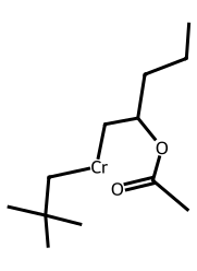 CCCC([CH2][Cr][CH2]C(C)(C)C)OC(C)=O